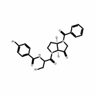 CC(C)CC(NC(=O)c1ccc(C(C)C)cc1)C(=O)N1CC[C@@H]2[C@H]1C(=O)CN2C(=O)c1ccccc1